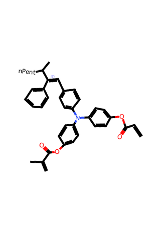 C=CC(=O)Oc1ccc(N(c2ccc(/C=C(\c3ccccc3)C(C)CCCCC)cc2)c2ccc(OC(=O)C(=C)C)cc2)cc1